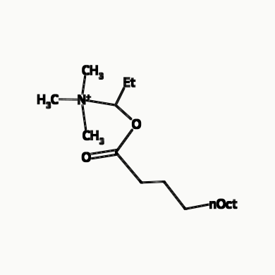 CCCCCCCCCCCC(=O)OC(CC)[N+](C)(C)C